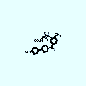 Cc1ccc(C(=O)N2CCC(c3ccc(C#N)cc3)CC2)cc1NS(=O)(=O)CC(=O)O